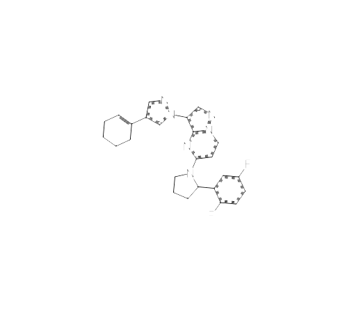 Fc1ccc(F)c(C2CCCN2c2ccn3ncc(-n4cc(C5=CCCCC5)cn4)c3n2)c1